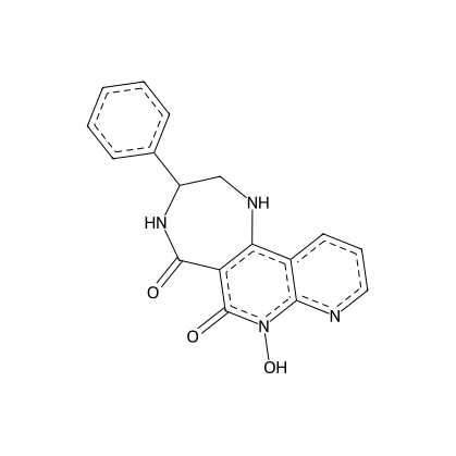 O=C1NC(c2ccccc2)CNc2c1c(=O)n(O)c1ncccc21